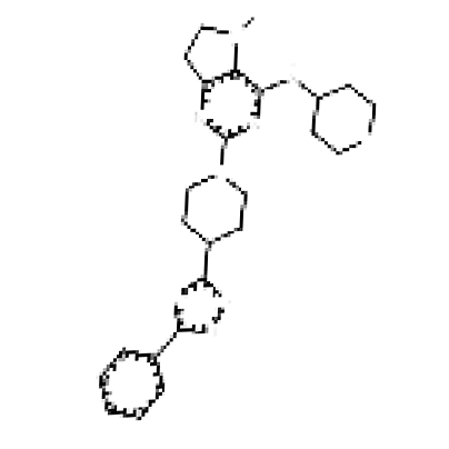 [O-][S+]1CCc2nc(N3CCC(c4nnc(-c5ccccc5)o4)CC3)nc(NC3CCOCC3)c21